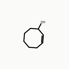 O[C]1/C=C\CCCCC1